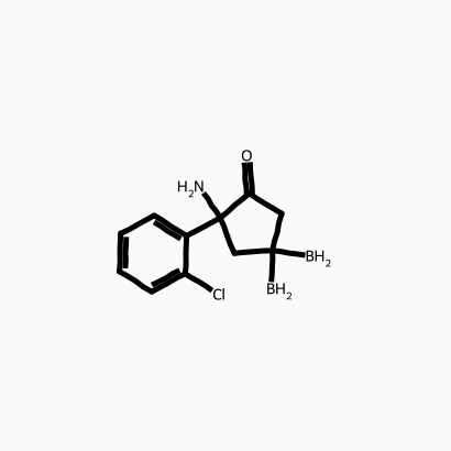 BC1(B)CC(=O)C(N)(c2ccccc2Cl)C1